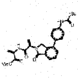 C=C(NC(=O)C(=C)N1Cc2c(cccc2-c2ccc(NC(=O)C(C)(C)C)cc2)C1=O)C(=O)OC